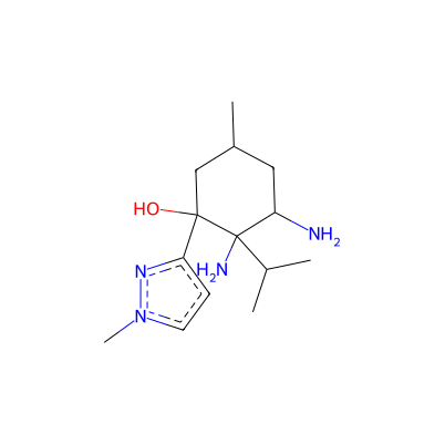 CC1CC(N)C(N)(C(C)C)C(O)(c2ccn(C)n2)C1